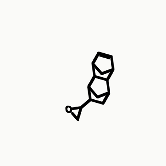 C1=CC2CC1C1C3CC(C4CO4)C(C3)C21